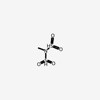 CN([SH](=O)=O)[SH](=O)=O